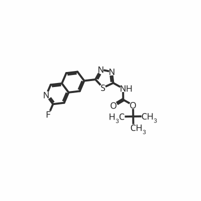 CC(C)(C)OC(=O)Nc1nnc(-c2ccc3cnc(F)cc3c2)s1